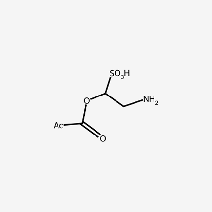 CC(=O)C(=O)OC(CN)S(=O)(=O)O